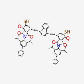 COc1c(S)cc(C#Cc2ccc(C#Cc3cc(S)c(OC)c4c3C(=O)N(c3c(C(C)C)cc(C5=CC=CC5)cc3C(C)C)C4=O)c3ccccc23)c2c1C(=O)N(c1c(C(C)C)cc(C3=CC=CC3)cc1C(C)C)C2=O